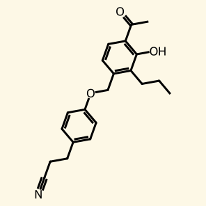 CCCc1c(COc2ccc(CCC#N)cc2)ccc(C(C)=O)c1O